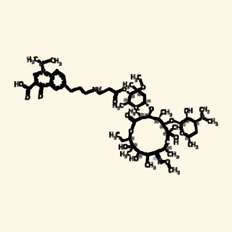 CC[C@H]1OC(=O)[C@H](C)[C@@H](O[C@H]2C[C@@](C)(OC)[C@@H](OC(=O)CCNCCCc3ccc4c(c3)c(=O)c(C(=O)O)cn4N(C)C)[C@H](C)O2)[C@H](C)[C@@H](O[C@@H]2O[C@H](C)C[C@H](N(C)C)[C@H]2O)[C@](C)(O)C[C@@H](C)/C(=N\OC)C(C)[C@@H](O)[C@]1(C)O